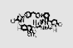 CNC(=O)COc1cc2cc(Nc3nc(N4CCC(CC5CCN(c6cccc7c(C8CCC(=O)NC8=O)nn(C)c67)C5)CC4)ncc3Cl)ccc2n(C)c1=O